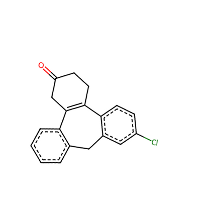 O=C1CCC2=C(C1)c1ccccc1Cc1cc(Cl)ccc12